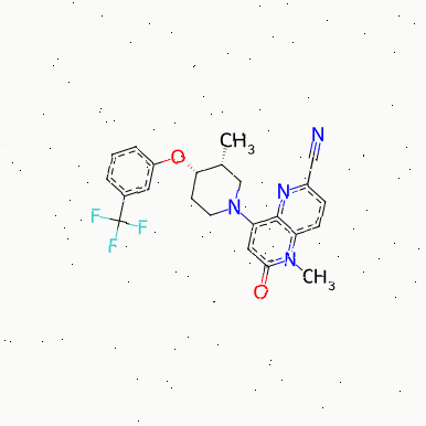 C[C@@H]1CN(c2cc(=O)n(C)c3ccc(C#N)nc23)CC[C@@H]1Oc1cccc(C(F)(F)F)c1